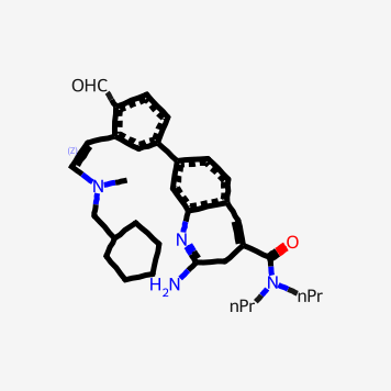 CCCN(CCC)C(=O)C1=Cc2ccc(-c3ccc(C=O)c(/C=C\N(C)CC4CCCCC4)c3)cc2N=C(N)C1